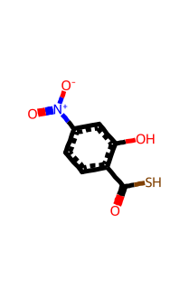 O=C(S)c1ccc([N+](=O)[O-])cc1O